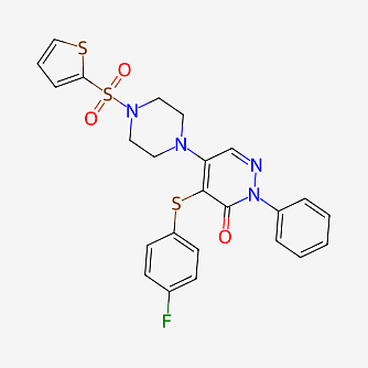 O=c1c(Sc2ccc(F)cc2)c(N2CCN(S(=O)(=O)c3cccs3)CC2)cnn1-c1ccccc1